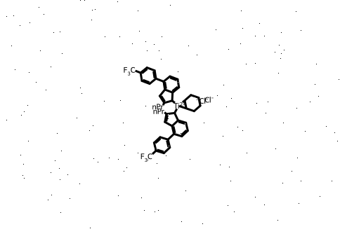 CCCC1=Cc2c(-c3ccc(C(F)(F)F)cc3)cccc2[CH]1[Ti+2]1([CH]2C(CCC)=Cc3c(-c4ccc(C(F)(F)F)cc4)cccc32)[CH]2CCCC[CH]21.[Cl-].[Cl-]